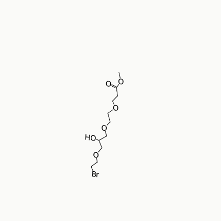 COC(=O)CCOCCOCC(O)COCCBr